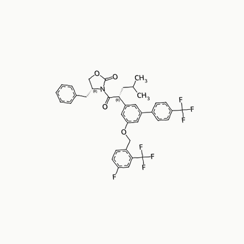 CC(C)C[C@@H](C(=O)N1C(=O)OC[C@H]1Cc1ccccc1)c1cc(OCc2ccc(F)cc2C(F)(F)F)cc(-c2ccc(C(F)(F)F)cc2)c1